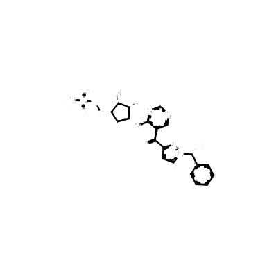 C[C@H](c1ccccc1)n1ccc(C(=O)c2cncnc2N[C@@H]2C[C@H](COS(N)(=O)=O)[C@@H](O)[C@H]2O)n1